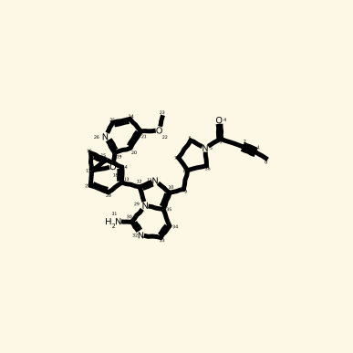 CC#CC(=O)N1CCC(Cc2nc(C3=CC4=CC4(Oc4cc(OC)ccn4)C=C3)n3c(N)nccc23)C1